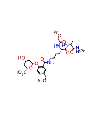 CC(=O)OCc1ccc(O[C@H]2C[C@@H](O)C[C@@H](C(=O)O)O2)c(C(=O)NCCCC[C@H](NC(=O)COC(C)C)C(=O)N[C@@H](C)C(=O)NC(C)C)c1